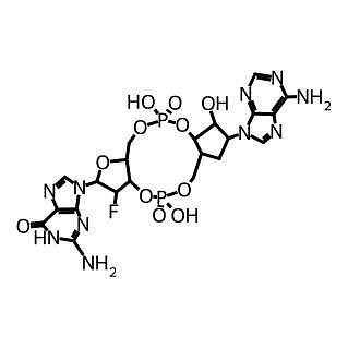 Nc1nc2c(ncn2C2OC3COP(=O)(O)OC4C(COP(=O)(O)OC3C2F)CC(n2cnc3c(N)ncnc32)C4O)c(=O)[nH]1